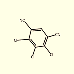 N#Cc1cc(C#N)c(Cl)c(Cl)c1Cl